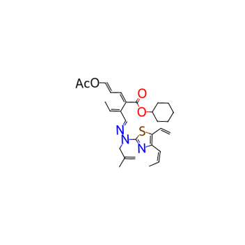 C=Cc1sc(N(CC(=C)C)/N=C/C(=C/C)C(=C\C=C\OC(C)=O)/C(=O)OC2CCCCC2)nc1/C=C\C